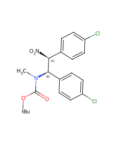 CN(C(=O)OC(C)(C)C)[C@H](c1ccc(Cl)cc1)[C@H](c1ccc(Cl)cc1)[N+](=O)[O-]